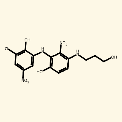 O=[N+]([O-])c1cc(Cl)c(O)c(Nc2c(O)ccc(NCCCO)c2[N+](=O)[O-])c1